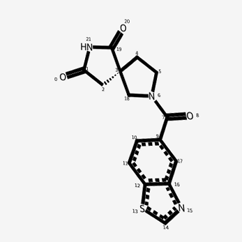 O=C1C[C@@]2(CCN(C(=O)c3ccc4scnc4c3)C2)C(=O)N1